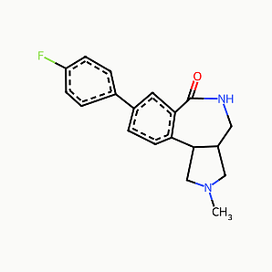 CN1CC2CNC(=O)c3cc(-c4ccc(F)cc4)ccc3C2C1